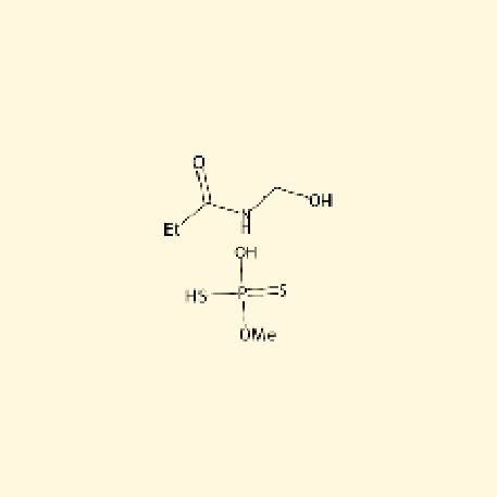 CCC(=O)NCO.COP(O)(=S)S